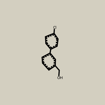 OCc1cccc(-c2ccc(Cl)cc2)c1